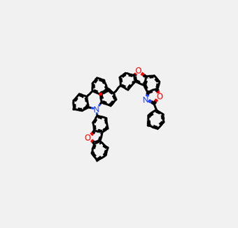 c1ccc(-c2nc3c(ccc4oc5ccc(-c6ccc(N(c7ccc8c(c7)oc7ccccc78)c7ccccc7-c7ccccc7)cc6)cc5c43)o2)cc1